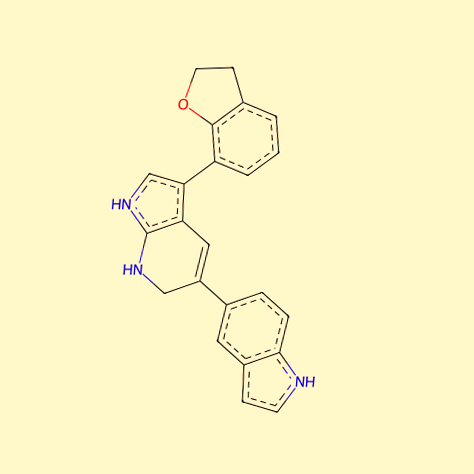 C1=C(c2ccc3[nH]ccc3c2)CNc2[nH]cc(-c3cccc4c3OCC4)c21